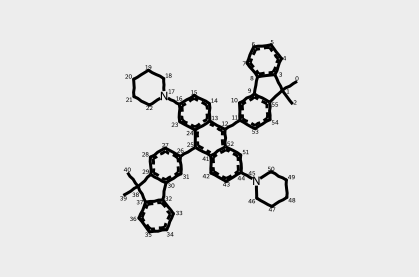 CC1(C)c2ccccc2-c2cc(-c3c4ccc(N5CCCCC5)cc4c(-c4ccc5c(c4)-c4ccccc4C5(C)C)c4ccc(N5CCCCC5)cc34)ccc21